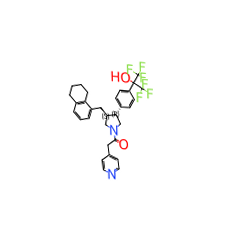 O=C(Cc1ccncc1)N1C[C@@H](Cc2cccc3c2CCCC3)[C@H](c2ccc(C(O)(C(F)(F)F)C(F)(F)F)cc2)C1